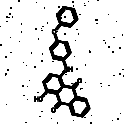 O=C1c2ccccc2C(=O)c2c(Nc3ccc(Oc4ccccc4)cc3)ccc(O)c21